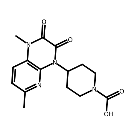 Cc1ccc2c(n1)n(C1CCN(C(=O)O)CC1)c(=O)c(=O)n2C